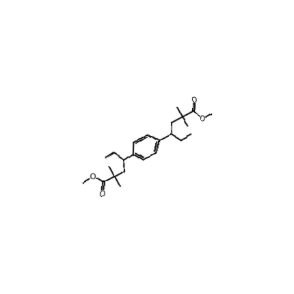 CCC(CC(C)(C)C(=O)OC)c1ccc(C(CC)CC(C)(C)C(=O)OC)cc1